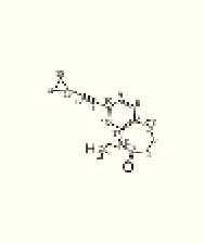 CN1C(=O)CCSc2ccc(C#CC3CC3)cc21